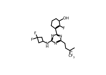 C[C@H](CCc1nc(NC2CC(F)(F)C2)nc(C2=C(F)C(O)CCC2)n1)C(F)(F)F